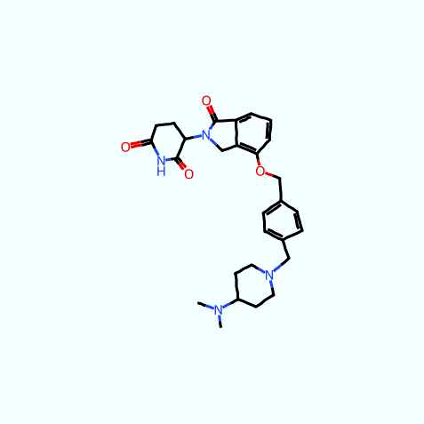 CN(C)C1CCN(Cc2ccc(COc3cccc4c3CN(C3CCC(=O)NC3=O)C4=O)cc2)CC1